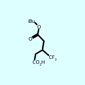 CCC(C)OC(=O)CC(CC(=O)O)C(F)(F)F